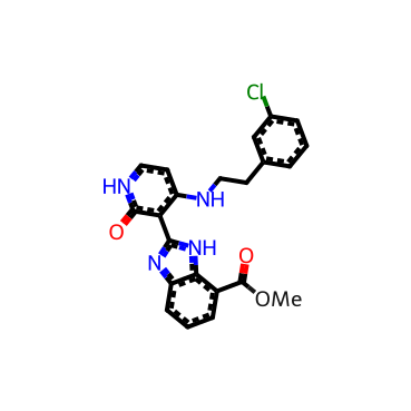 COC(=O)c1cccc2nc(-c3c(NCCc4cccc(Cl)c4)cc[nH]c3=O)[nH]c12